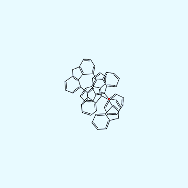 c1ccc(-c2c3ccccc3c(-c3cccc4c3-c3c(cccc3-c3c5ccccc5c(-c5cccc6c5-c5ccccc5C6)c5ccccc35)C4)c3ccccc23)cc1